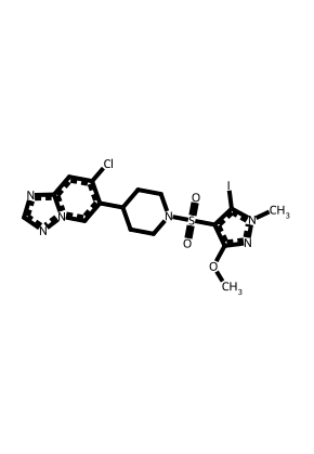 COc1nn(C)c(I)c1S(=O)(=O)N1CCC(c2cn3ncnc3cc2Cl)CC1